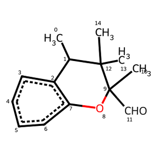 CC1c2ccccc2OC(C)(C=O)C1(C)C